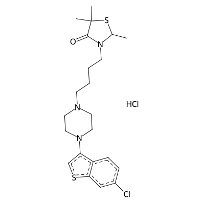 CC1SC(C)(C)C(=O)N1CCCCN1CCN(c2csc3cc(Cl)ccc23)CC1.Cl